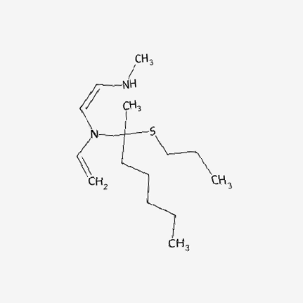 C=CN(/C=C\NC)C(C)(CCCCC)SCCC